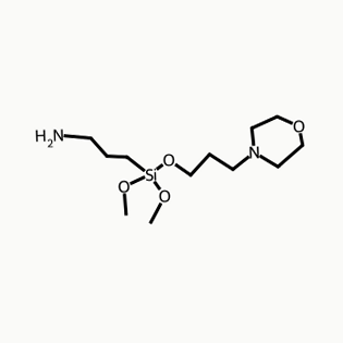 CO[Si](CCCN)(OC)OCCCN1CCOCC1